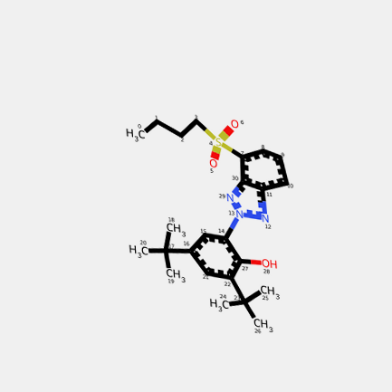 CCCCS(=O)(=O)c1cccc2nn(-c3cc(C(C)(C)C)cc(C(C)(C)C)c3O)nc12